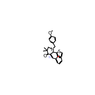 COc1ccc(CN2CC(C)(C)C(=O)/C(=C/c3ccccn3)C2c2cccs2)cc1